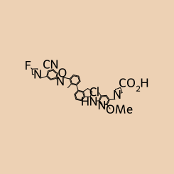 COc1nc(N[C@H]2CCc3c(-c4cccc(-c5nc6cc(CN7CC(F)C7)cc(C#N)c6o5)c4C)cccc32)c(Cl)cc1CN1CC(C(=O)O)C1